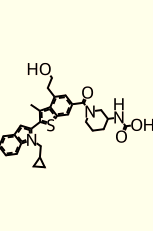 Cc1c(-c2cc3ccccc3n2CC2CC2)sc2cc(C(=O)N3CCCC(NC(=O)O)C3)cc(CCO)c12